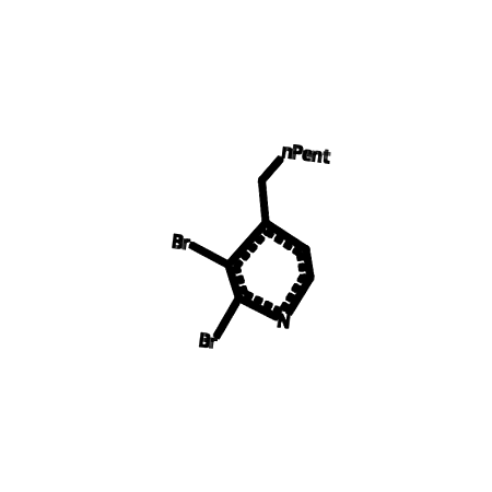 CCCCCCc1ccnc(Br)c1Br